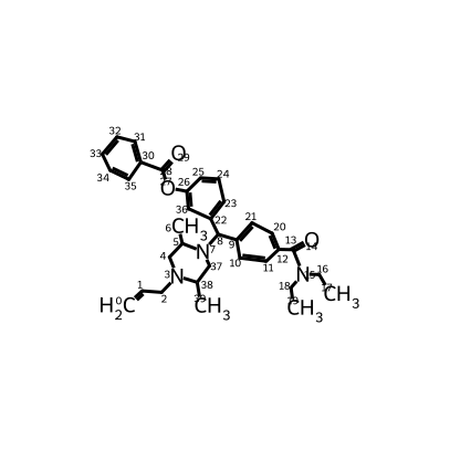 C=CCN1CC(C)N(C(c2ccc(C(=O)N(CC)CC)cc2)c2cccc(OC(=O)c3ccccc3)c2)CC1C